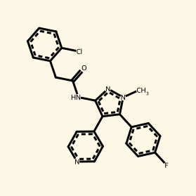 Cn1nc(NC(=O)Cc2ccccc2Cl)c(-c2ccncc2)c1-c1ccc(F)cc1